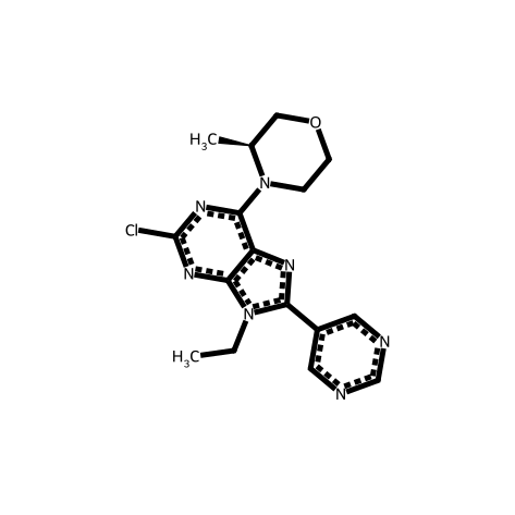 CCn1c(-c2cncnc2)nc2c(N3CCOC[C@@H]3C)nc(Cl)nc21